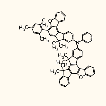 Cc1cc(C)c(-c2cc3c(c4c2oc2ccccc24)-c2ccc(N(c4ccccc4)c4ccc5c(c4)C(C)(C)c4c6c(c7oc8ccccc8c7c4-5)-c4ccccc4C6(C)C)cc2C3(C)C)c(C)c1